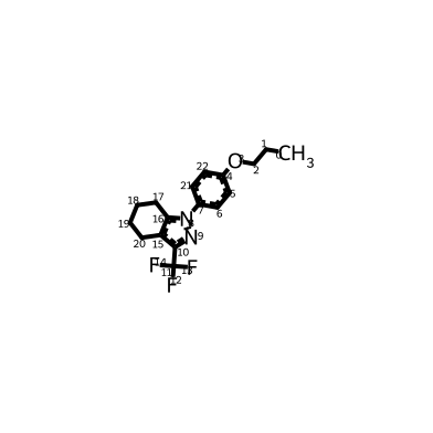 CCCOc1ccc(-n2nc(C(F)(F)F)c3c2CCCC3)cc1